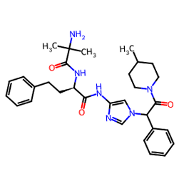 CC1CCN(C(=O)C(c2ccccc2)n2cnc(NC(=O)[C@@H](CCc3ccccc3)NC(=O)C(C)(C)N)c2)CC1